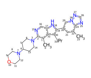 Cc1c(N2CCC(N3CCOCC3)CC2)ncc2[nH]c(-c3cc(C)c4ncnn4c3)c(C(C)C)c12